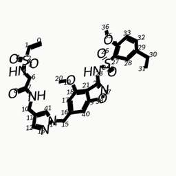 C=CS(=O)(=O)NCC(=O)NCc1cnn(Cc2cc(OC)c3c(NS(=O)(=O)c4cc(CC)ccc4OC)noc3c2)c1